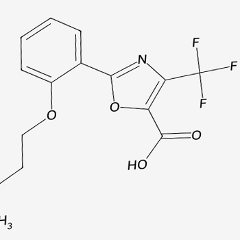 COCCOc1ccccc1-c1nc(C(F)(F)F)c(C(=O)O)o1